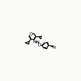 N#Cc1ccc(ON=NC2=C(C3CC3)COC=C2C2CC2)cc1